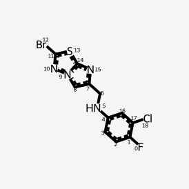 Fc1ccc(NCc2cn3nc(Br)sc3n2)cc1Cl